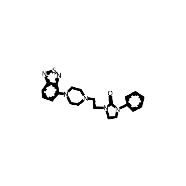 O=C1N(CCN2CCN(c3cccc4nsnc34)CC2)CCN1c1ccccc1